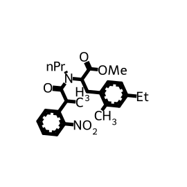 CCCN(C(=O)C(C)c1ccccc1[N+](=O)[O-])C(Cc1ccc(CC)cc1C)C(=O)OC